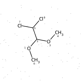 CO[C](OC)C(Cl)Cl